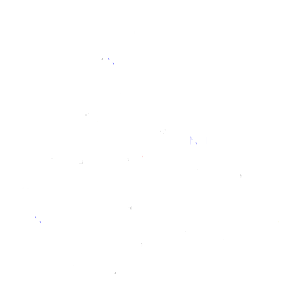 CSc1cccc(NC(=O)c2cccnc2SCc2ccnc3ccccc23)c1